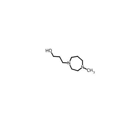 CN1CCCN(CCCO)CC1